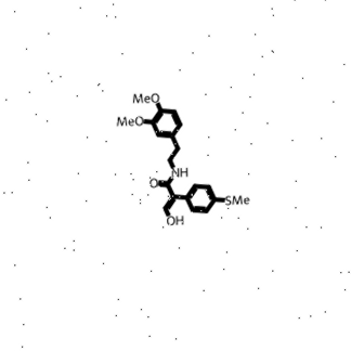 COc1ccc(CCNC(=O)C(=CO)c2ccc(SC)cc2)cc1OC